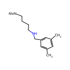 CNCCCCNCc1cc(C)cc(C)c1